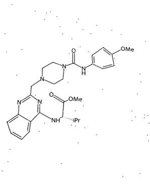 COC(=O)[C@@H](Nc1nc(CN2CCN(C(=O)Nc3ccc(OC)cc3)CC2)nc2ccccc12)C(C)C